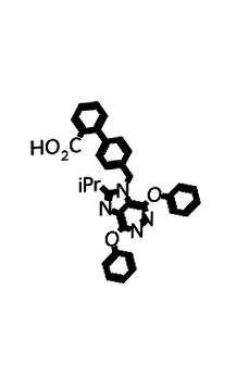 CC(C)c1nc2c(Oc3ccccc3)nnc(Oc3ccccc3)c2n1Cc1ccc(-c2ccccc2C(=O)O)cc1